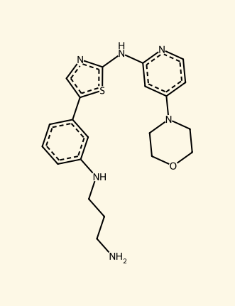 NCCCNc1cccc(-c2cnc(Nc3cc(N4CCOCC4)ccn3)s2)c1